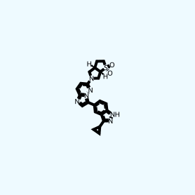 O=S1(=O)CC[C@H]2CN(c3ccc4ncc(-c5ccc6[nH]nc(C7CC7)c6c5)n4n3)C[C@H]21